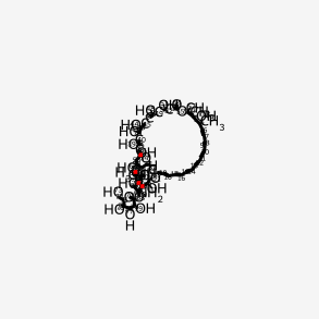 C[C@@H]1[C@H](O)[C@@H](C)/C=C/C=C/C=C/C=C/C=C/C=C/C=C/[C@H](O[C@@H]2O[C@H](C)[C@@H](O)[C@H](N)[C@@H]2O)C[C@@H]2O[C@](O)(C[C@@H](O)C[C@@H](O)[C@H](O)CC[C@@H](O)C[C@@H](O)CC(=O)O[C@H]1C)C[C@H](O)[C@H]2NC(=O)N1CC(O[C@H]2OC(CO)[C@@H](O)C(O)C2O)C1